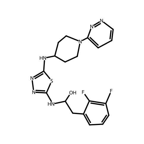 OC(Cc1cccc(F)c1F)Nc1nnc(NC2CCN(c3cccnn3)CC2)s1